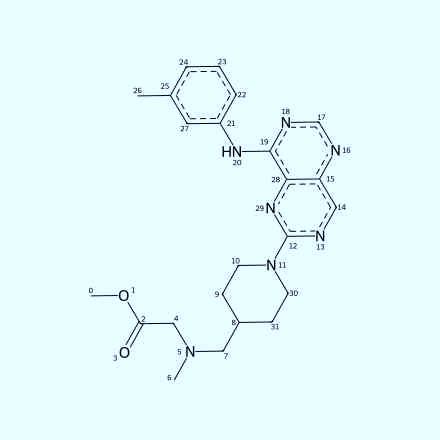 COC(=O)CN(C)CC1CCN(c2ncc3ncnc(Nc4cccc(C)c4)c3n2)CC1